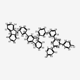 Cc1ccc(-c2nc(-c3ccc(C)cc3)nc(-c3cccc(-c4cccc(-n5c6ccccc6c6ccc(-c7cccc(-n8c9ccccc9c9ccccc98)c7)cc65)c4)c3)n2)cc1